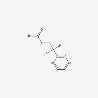 O=C(O)CCC(F)(F)c1ccccc1